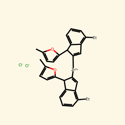 CCc1cccc2c1C=[C]([Zr+2][C]1=Cc3c(CC)cccc3C1c1ccc(C)o1)C2c1ccc(C)o1.[Cl-].[Cl-]